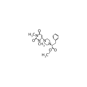 CCOC(=O)C(Cc1ccccc1)N1CCN(c2cc(=O)n(C)c(=O)n2C)CC1